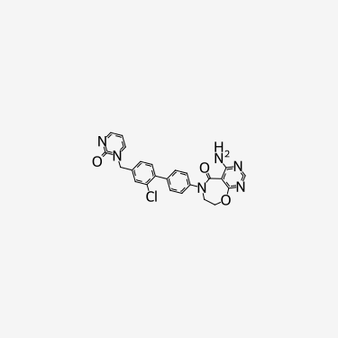 Nc1ncnc2c1C(=O)N(c1ccc(-c3ccc(Cn4cccnc4=O)cc3Cl)cc1)CCO2